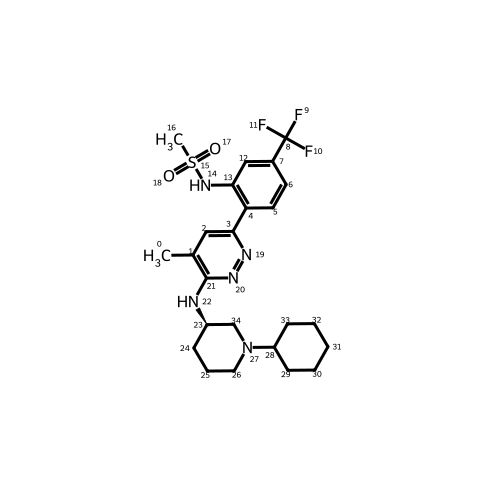 Cc1cc(-c2ccc(C(F)(F)F)cc2NS(C)(=O)=O)nnc1N[C@@H]1CCCN(C2CCCCC2)C1